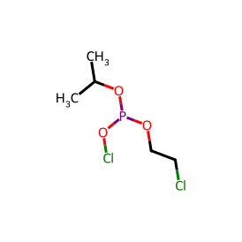 CC(C)OP(OCl)OCCCl